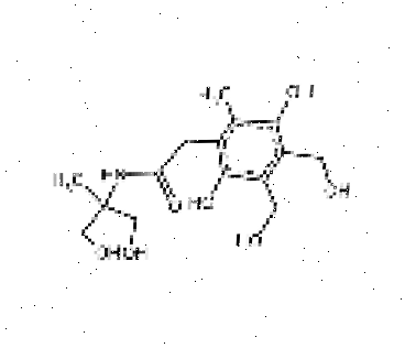 Cc1c(O)c(CO)c(CO)c(O)c1CC(=O)NC(C)(CO)CO